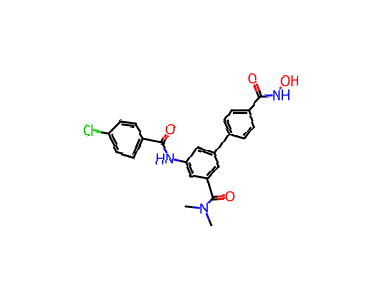 CN(C)C(=O)c1cc(NC(=O)c2ccc(Cl)cc2)cc(-c2ccc(C(=O)NO)cc2)c1